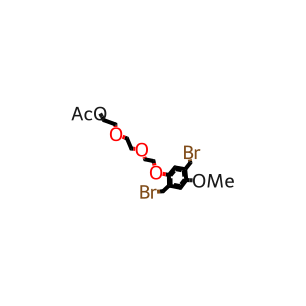 COc1cc(CBr)c(OCCOCCOCCOC(C)=O)cc1CBr